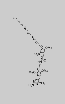 COc1cc(COC(=O)NCCCOc2c(OC)cc(Cc3cnc(N)nc3N)cc2OC)c([N+](=O)[O-])cc1OCCOCCOCCOCCOCCCCCCCl